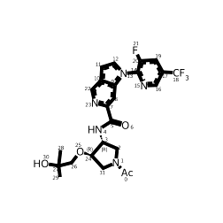 CC(=O)N1C[C@@H](NC(=O)c2cc3c(ccn3-c3ncc(C(F)(F)F)cc3F)cn2)[C@H](OCC(C)(C)O)C1